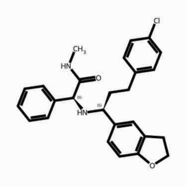 CNC(=O)[C@@H](N[C@@H](CCc1ccc(Cl)cc1)c1ccc2c(c1)CCO2)c1ccccc1